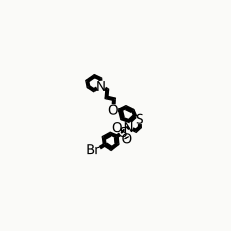 O=S(=O)(c1ccc(Br)cc1)N1CCSc2ccc(OCCCN3CCCCC3)cc21